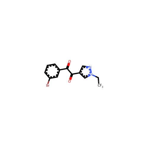 O=C(C(=O)c1cnn(CC(F)(F)F)c1)c1cccc(Br)c1